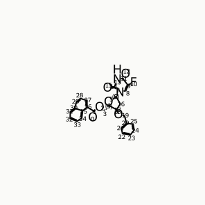 O=C(OC[C@@H]1O[C@H](n2cc(F)c(=O)[nH]c2=O)CC1OCc1ccccc1)c1cccc2ccccc12